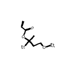 C=CC(=O)OC(C)(CC)CCOCC